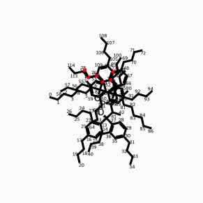 CCCCCCC(C)C(OP(OC(c1ccc(CCCC)cc1CCCC)(c1ccc(CCCC)cc1CCCC)C(C)CCCCCC)OC(c1ccc(CCCC)cc1CCCC)(c1ccc(CCCC)cc1CCCC)C(C)CCCCCC)(c1ccc(CCCC)cc1CCCC)c1ccc(CCCC)cc1CCCC